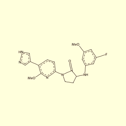 COc1cc(F)cc(NC2CCN(c3ccc(-c4cn[nH]c4)c(OC)n3)C2=O)c1